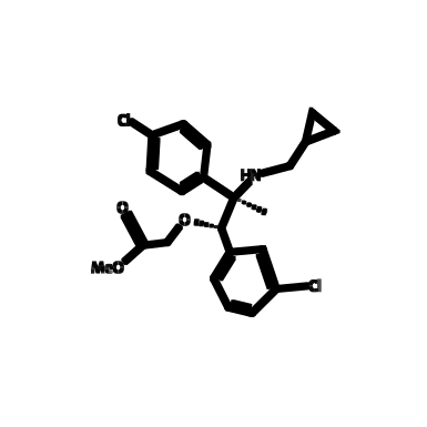 COC(=O)CO[C@@H](c1cccc(Cl)c1)[C@](C)(NCC1CC1)c1ccc(Cl)cc1